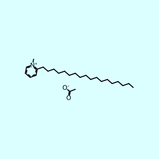 CC(=O)[O-].CCCCCCCCCCCCCCCCCCc1cccc[n+]1C